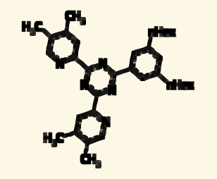 CCCCCCc1cc(CCCCCC)cc(-c2nc(-c3cc(C)c(C)cn3)nc(-c3cc(C)c(C)cn3)n2)c1